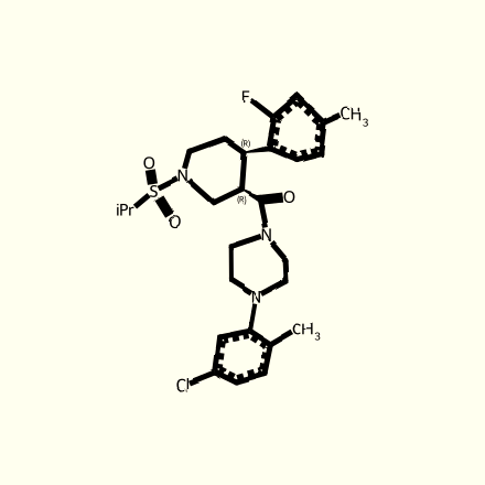 Cc1ccc([C@@H]2CCN(S(=O)(=O)C(C)C)C[C@@H]2C(=O)N2CCN(c3cc(Cl)ccc3C)CC2)c(F)c1